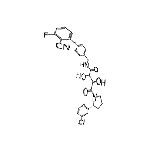 N#Cc1c(F)cccc1-c1ccc(CNC(=O)[C@H](O)[C@@H](O)C(=O)N2CCC[C@@H]2c2cccc(Cl)c2)cc1